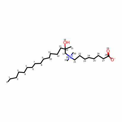 CCCCCCCCCCCCCCC(C)(O)C[N+](C)(C)CCCCCCCC(=O)[O-]